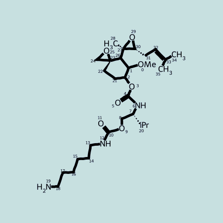 COC1C(OC(=O)N[C@@H](COC(=O)NCCCCCCN)C(C)C)CC[C@]2(CO2)C1[C@@]1(C)O[C@@H]1CC=C(C)C